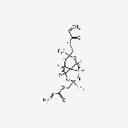 C=CC(=O)OCC1(C(F)(F)F)OC(F)(F)C2(C(F)(F)O1)C(F)(F)OC(COC(=O)C=C)(C(F)(F)F)OC2(F)F